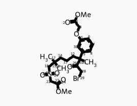 COC(=O)COc1cccc(C(C)(CCCC(C)(C)CS(=O)(=O)CC(=O)OC)C(=O)CBr)c1